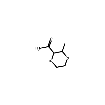 CC1[N]CCNC1C(N)=O